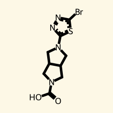 O=C(O)N1CC2CN(c3nnc(Br)s3)CC2C1